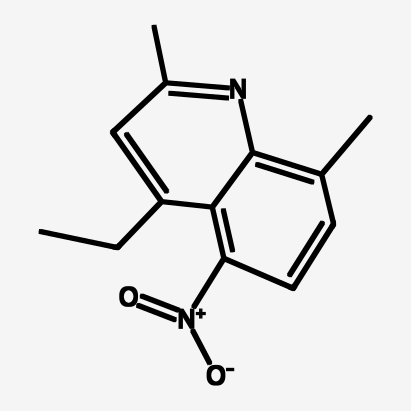 CCc1cc(C)nc2c(C)ccc([N+](=O)[O-])c12